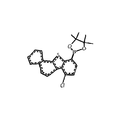 CC1(C)OB(c2ccc(Cl)c3c2sc2c4ccccc4ccc23)OC1(C)C